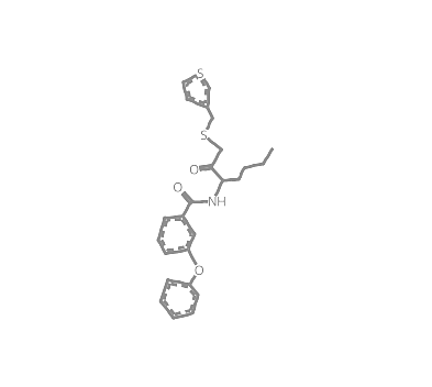 CCCCC(NC(=O)c1cccc(Oc2ccccc2)c1)C(=O)CSCc1ccsc1